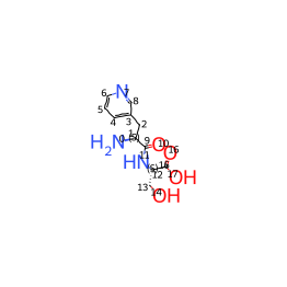 N[C@@H](Cc1cccnc1)C(=O)N[C@@H](CO)C(=O)O